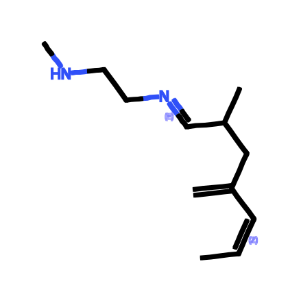 C=C(/C=C\C)CC(C)/C=N/CCNC